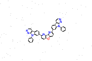 c1ccc(-n2c3cc(-c4ccc5oc6ccc(-c7ccc8c9ccnnc9n(-c9ccccc9)c8c7)nc6c5n4)ccc3c3ccnnc32)cc1